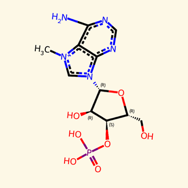 C[n+]1cn([C@@H]2O[C@H](CO)[C@@H](OP(=O)(O)O)[C@H]2O)c2ncnc(N)c21